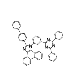 c1ccc(-c2ccc(-c3nc4c5ccccc5c5ccccc5c4n3-c3cccc(-c4nc(-c5ccccc5)nc(-c5ccccc5)n4)c3)cc2)cc1